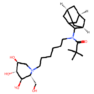 CC(C)(C)C(=O)N(CCCCCCN1C[C@H](O)[C@@H](O)[C@H](O)[C@H]1CO)C1C2C[C@H]3C[C@H](C2)C[C@H]1C3